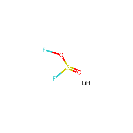 O=S(F)OF.[LiH]